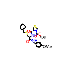 COc1ccc(CNC(=O)[C@@H](CSCC2CCCCC2)NC(=O)[C@@H]2CSCN2C(=O)OC(C)(C)C)cc1